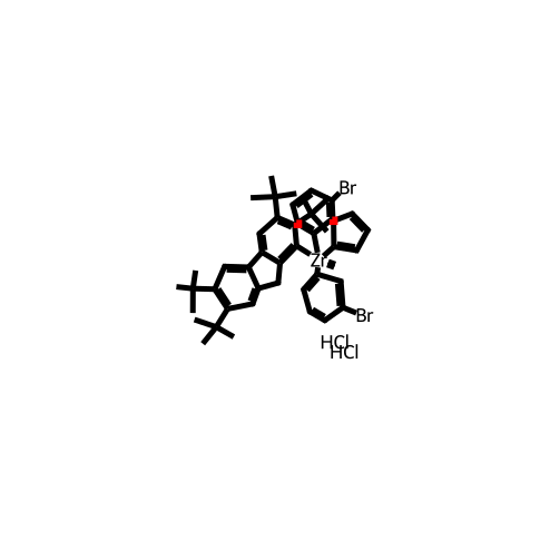 Cl.Cl.[CH2]=[Zr]([C]1=CC=CC1)([c]1cccc(Br)c1)([c]1cccc(Br)c1)[c]1c2c(cc(C(C)(C)C)c1C(C)(C)C)-c1cc(C(C)(C)C)c(C(C)(C)C)cc1C2